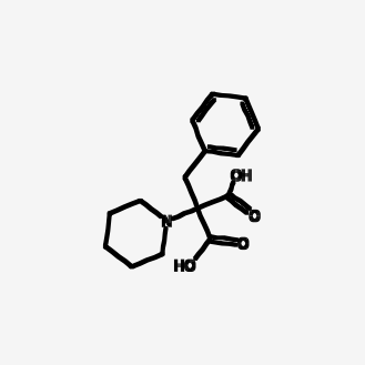 O=C(O)C(Cc1ccccc1)(C(=O)O)N1CCCCC1